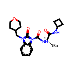 CC(C)(C)[C@H](NC(=O)n1c(=O)n(CC2CCOCC2)c2ccccc21)C(=O)NC1CCC1